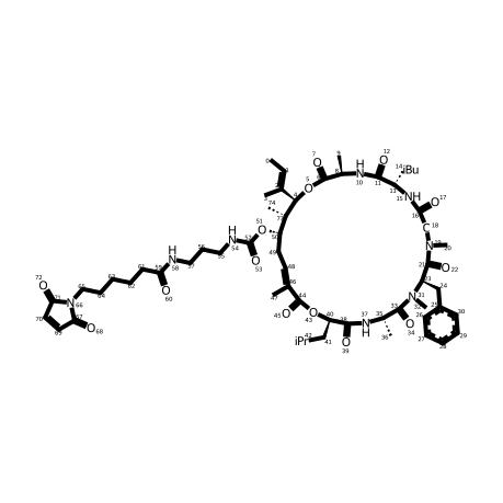 C/C=C(\C)[C@H]1OC(=O)[C@@H](C)NC(=O)[C@H](C(C)CC)NC(=O)CN(C)C(=O)[C@@H](Cc2ccccc2)N(C)C(=O)[C@H](C)NC(=O)[C@@H](CC(C)C)OC(=O)/C(C)=C/C[C@H](OC(=O)NCCCNC(=O)CCCCCN2C(=O)C=CC2=O)[C@@H]1C